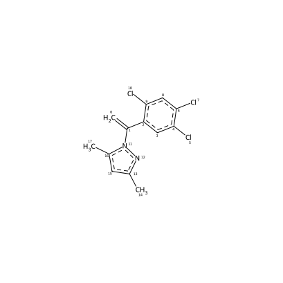 C=C(c1cc(Cl)c(Cl)cc1Cl)n1nc(C)cc1C